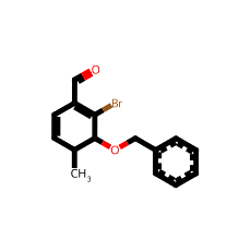 CC1C=CC(C=O)=C(Br)C1OCc1ccccc1